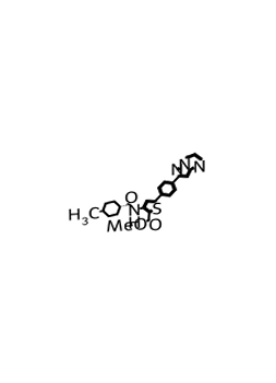 COC(=O)c1sc(-c2ccc(-c3cc4ncccn4n3)cc2)cc1NC(=O)[C@H]1CC[C@H](C)CC1